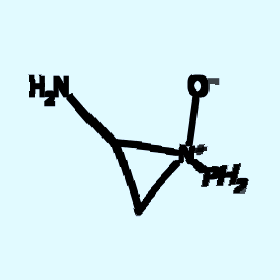 NC1C[N+]1([O-])P